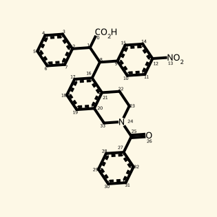 O=C(O)C(c1ccccc1)C(c1ccc([N+](=O)[O-])cc1)c1cccc2c1CCN(C(=O)c1ccccc1)C2